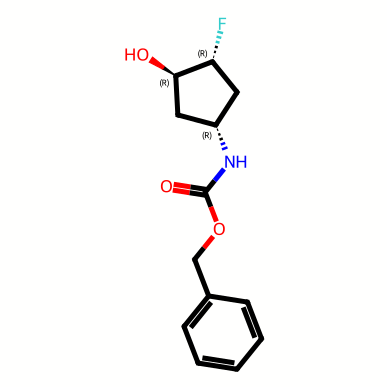 O=C(N[C@@H]1C[C@@H](O)[C@H](F)C1)OCc1ccccc1